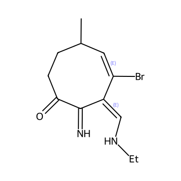 CCN/C=C1C(=N)C(=O)CCC(C)/C=C\1Br